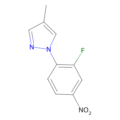 Cc1cnn(-c2ccc([N+](=O)[O-])cc2F)c1